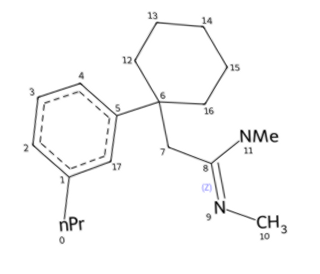 CCCc1cccc(C2(C/C(=N/C)NC)CCCCC2)c1